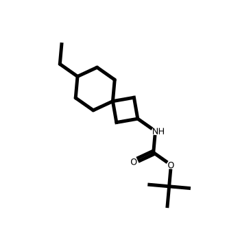 CCC1CCC2(CC1)CC(NC(=O)OC(C)(C)C)C2